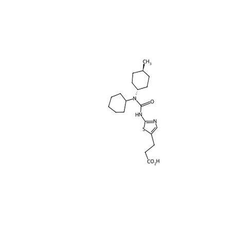 C[C@H]1CC[C@H](N(C(=O)Nc2ncc(CCC(=O)O)s2)C2CCCCC2)CC1